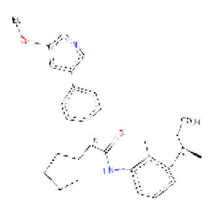 CCOc1cncc(-c2ccc([C@H](C(=O)Nc3cccc([C@H](C)CC(=O)O)c3C)C3CCCC3)cc2)c1